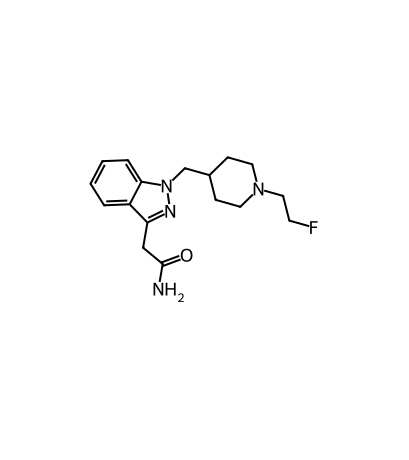 NC(=O)Cc1nn(CC2CCN(CCF)CC2)c2ccccc12